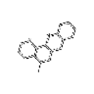 Cc1cc2cc3ccccc3nc2c2ncccc12